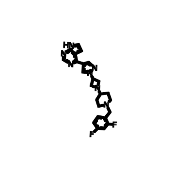 Fc1ccc(CN2CCC(N3C[C](n4cc(-c5ncnc6[nH]ccc56)cn4)C3)CC2)c(F)c1